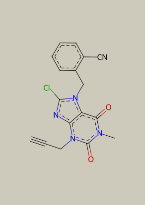 C#CCn1c(=O)n(C)c(=O)c2c1nc(Cl)n2Cc1ccccc1C#N